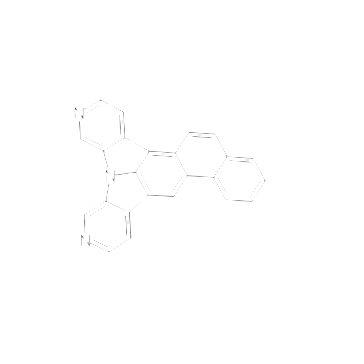 c1ccc2c(c1)ccc1c2cc2c3ccncc3n3c4cnccc4c1c23